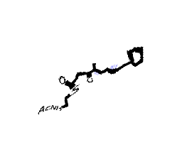 CC(=O)NCCSC(=O)CC(=O)/C(C)=C/C=C/c1ccccc1